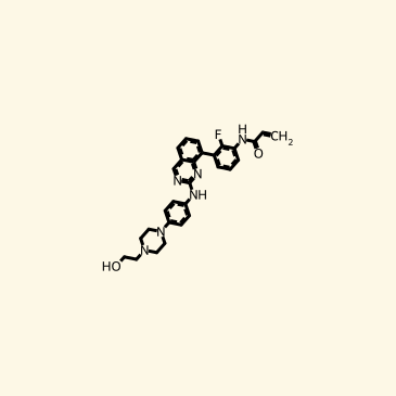 C=CC(=O)Nc1cccc(-c2cccc3cnc(Nc4ccc(N5CCN(CCO)CC5)cc4)nc23)c1F